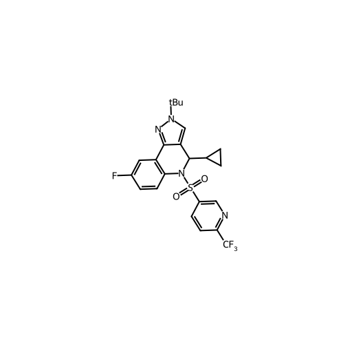 CC(C)(C)n1cc2c(n1)-c1cc(F)ccc1N(S(=O)(=O)c1ccc(C(F)(F)F)nc1)C2C1CC1